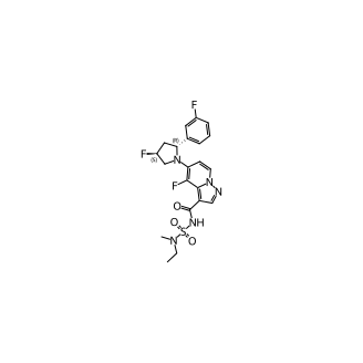 CCN(C)S(=O)(=O)NC(=O)c1cnn2ccc(N3C[C@@H](F)C[C@@H]3c3cccc(F)c3)c(F)c12